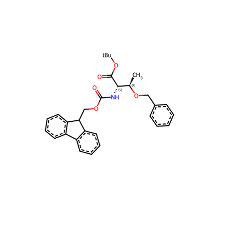 C[C@@H](OCc1ccccc1)[C@H](NC(=O)OCC1c2ccccc2-c2ccccc21)C(=O)OC(C)(C)C